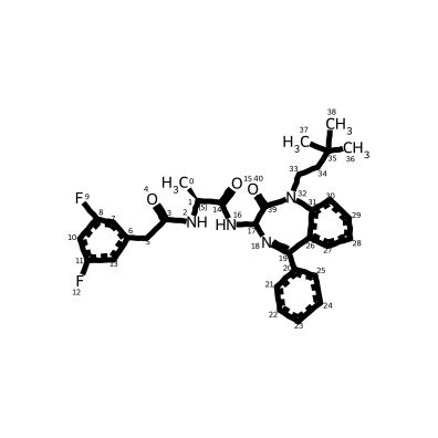 C[C@H](NC(=O)Cc1cc(F)cc(F)c1)C(=O)NC1N=C(c2ccccc2)c2ccccc2N(CCC(C)(C)C)C1=O